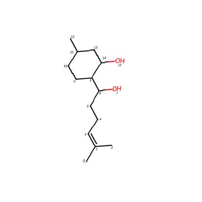 CC(C)=CCCC(O)C1CCC(C)CC1O